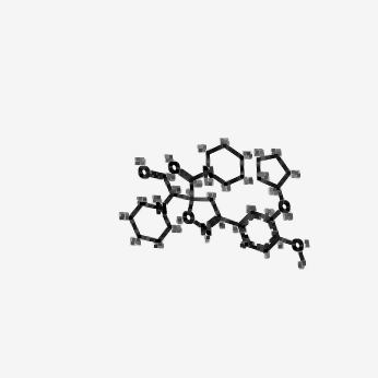 COc1ccc(C2=NOC(C(=O)N3CCCCC3)(C(C=O)N3CCCCC3)C2)cc1OC1CCCC1